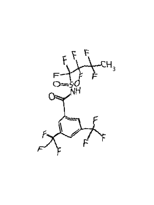 CC(F)(F)C(F)(F)C(F)(F)S(=O)(=O)NC(=O)c1cc(C(F)(F)F)cc(C(F)(F)F)c1